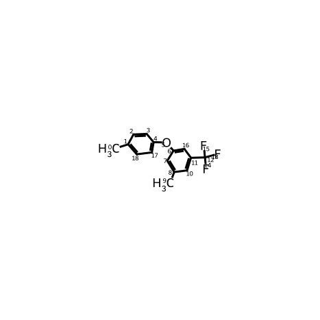 Cc1ccc(Oc2cc(C)cc(C(F)(F)F)c2)cc1